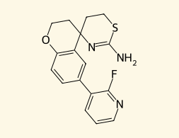 NC1=NC2(CCOc3ccc(-c4cccnc4F)cc32)CCS1